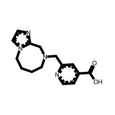 O=C(O)c1ccnc(CN2CCCCn3ccnc3C2)c1